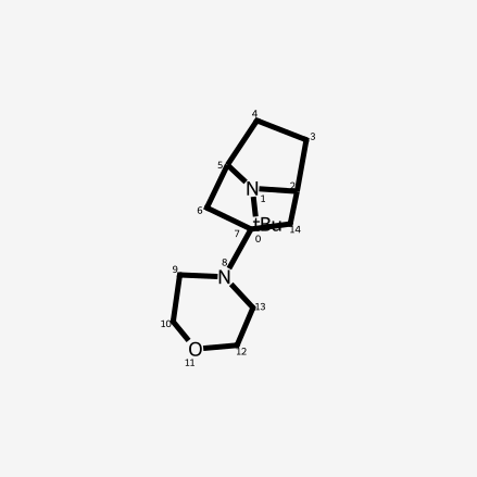 CC(C)(C)N1C2CCC1CC(N1CCOCC1)C2